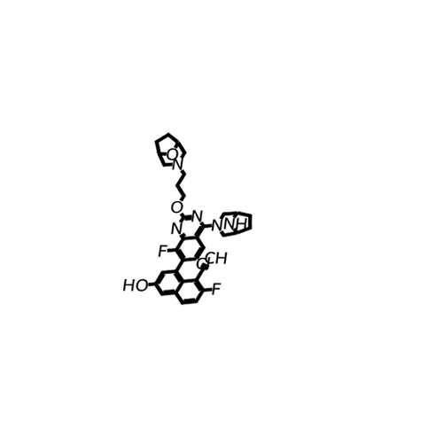 C#Cc1c(F)ccc2cc(O)cc(-c3c(Cl)cc4c(N5CC6CCC(C5)N6)nc(OCCCN5CC6CCC(C5)O6)nc4c3F)c12